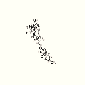 CC[C@H]1[C@@H](O)[C@@H]2[C@H](CC[C@]3(C)[C@@H](CCCOC(=O)NS(=O)(=O)c4ccc(C(F)(F)F)cc4)CC[C@@H]23)[C@@]2(C)CC[C@@H](O)C[C@@H]12